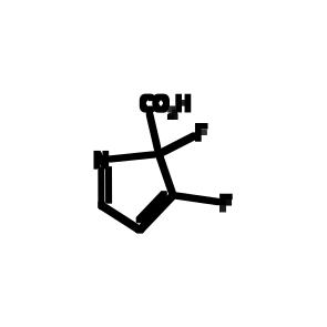 O=C(O)C1(F)N=CC=C1F